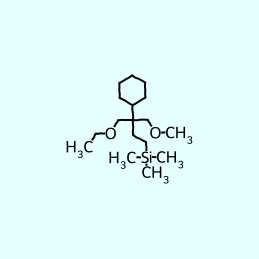 CCOCC(CC[Si](C)(C)C)(COC)C1CCCCC1